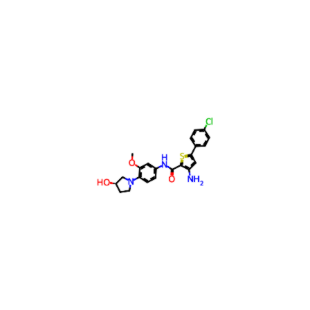 COc1cc(NC(=O)c2sc(-c3ccc(Cl)cc3)cc2N)ccc1N1CC[C@@H](O)C1